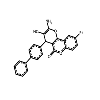 CCc1ccc2oc(=O)c3c(c2c1)OC(N)=C(C#N)C3c1ccc(-c2ccccc2)cc1